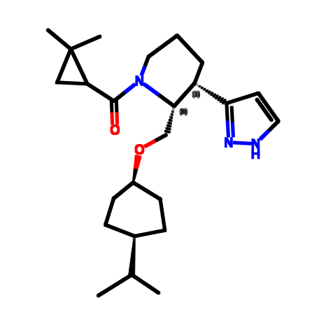 CC(C)[C@H]1CC[C@@H](OC[C@H]2[C@@H](c3cc[nH]n3)CCCN2C(=O)C2CC2(C)C)CC1